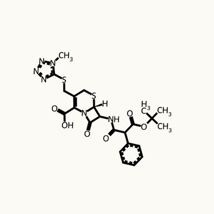 Cn1nnnc1SCC1=C(C(=O)O)N2C(=O)C(NC(=O)C(C(=O)OC(C)(C)C)c3ccccc3)[C@H]2SC1